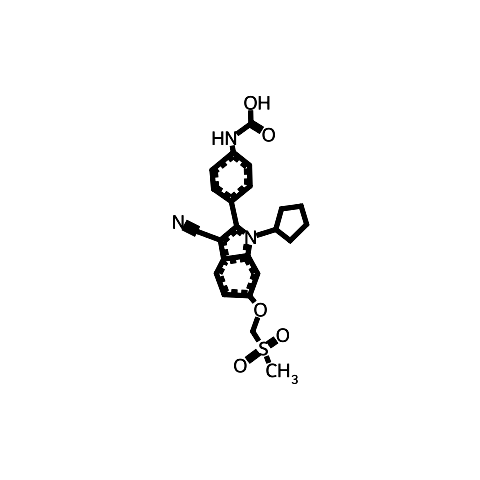 CS(=O)(=O)COc1ccc2c(C#N)c(-c3ccc(NC(=O)O)cc3)n(C3CCCC3)c2c1